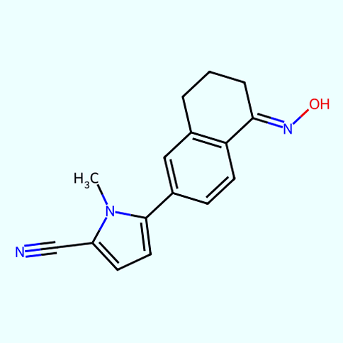 Cn1c(C#N)ccc1-c1ccc2c(c1)CCC/C2=N\O